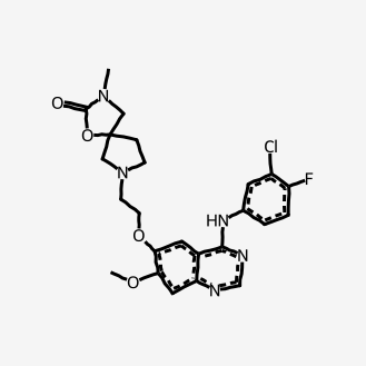 COc1cc2ncnc(Nc3ccc(F)c(Cl)c3)c2cc1OCCN1CCC2(C1)CN(C)C(=O)O2